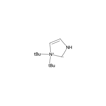 CC(C)(C)[N+]1(C(C)(C)C)[C]NC=C1